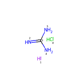 Cl.I.N=C(N)N